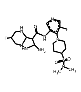 CN(C)S(=O)(=O)C1CCN(c2c(F)cncc2NC(=O)C2C(N)NN3CC(F)CNC23)CC1